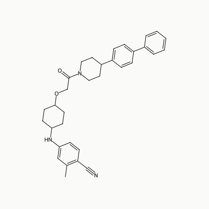 Cc1cc(NC2CCC(OCC(=O)N3CCC(c4ccc(-c5ccccc5)cc4)CC3)CC2)ccc1C#N